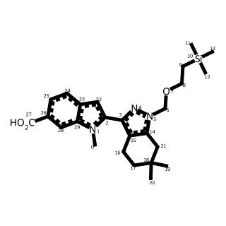 Cn1c(-c2nn(COCC[Si](C)(C)C)c3c2CCC(C)(C)C3)cc2ccc(C(=O)O)cc21